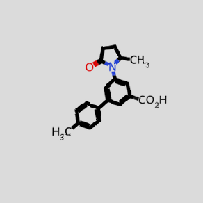 Cc1ccc(-c2cc(C(=O)O)cc(N3C(=O)CCC3C)c2)cc1